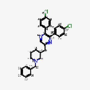 Clc1ccc(-c2ncc(CC3CCCN(Cc4ccccc4)C3)nc2-c2ccc(Cl)cc2)cc1